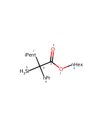 CCCCCCOC(=O)C([SiH3])(CCC)C(C)CCC